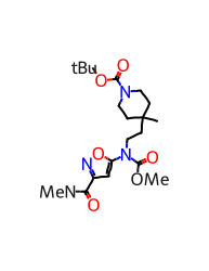 CNC(=O)c1cc(N(CCC2(C)CCN(C(=O)OC(C)(C)C)CC2)C(=O)OC)on1